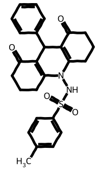 Cc1ccc(S(=O)(=O)NN2C3=C(C(=O)CCC3)C(c3ccccc3)C3=C2CCCC3=O)cc1